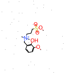 COc1cccc(C[N+](C)(C)CCCS(=O)(=O)OC)c1O